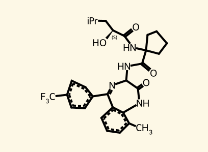 Cc1cccc2c1NC(=O)C(NC(=O)C1(NC(=O)[C@@H](O)CC(C)C)CCCC1)N=C2c1ccc(C(F)(F)F)cc1